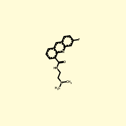 CN(C)CCNC(=O)c1cccc2cc3ccc(F)cc3nc12